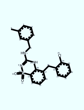 Cc1cccc(CNC2=NS(=O)(=O)c3cccc(Cc4ccccc4Cl)c3N2)c1